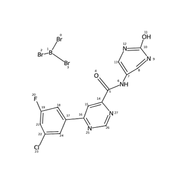 BrB(Br)Br.O=C(Nc1cnc(O)nc1)c1cc(-c2cc(F)cc(Cl)c2)ncn1